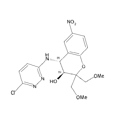 COCC1(COC)Oc2ccc([N+](=O)[O-])cc2[C@@H](Nc2ccc(Cl)nn2)[C@@H]1O